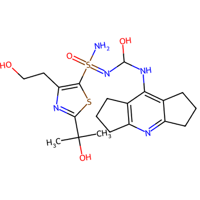 CC(C)(O)c1nc(CCO)c(S(N)(=O)=NC(O)Nc2c3c(nc4c2CCC4)CCC3)s1